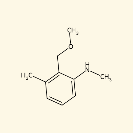 CNc1cccc(C)c1COC